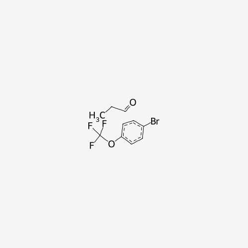 CCC=O.FC(F)(F)Oc1ccc(Br)cc1